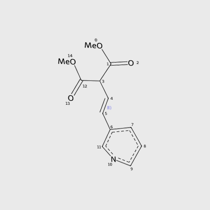 COC(=O)C(/C=C/c1cccnc1)C(=O)OC